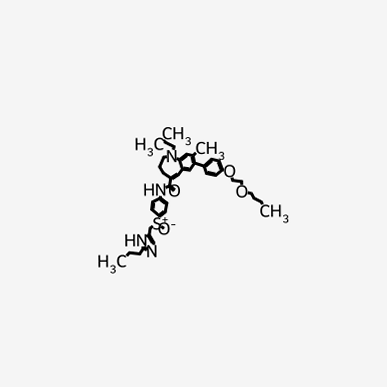 CCCCOCCOc1ccc(-c2cc3c(cc2C)N(CC(C)C)CCCC(C(=O)Nc2ccc([S+]([O-])Cc4cnc(CCC)[nH]4)cc2)=C3)cc1